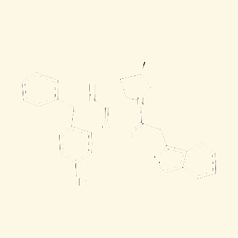 CC(C)c1ccc([C@@H](NC(=O)[C@@H]2C[C@@H](F)CN2C(=O)Cc2noc3ccccc23)c2ccccc2)cc1